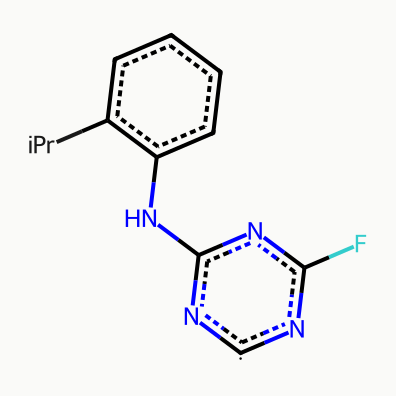 CC(C)c1ccccc1Nc1n[c]nc(F)n1